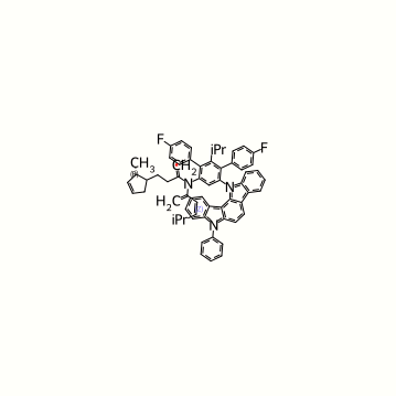 C=C(/C=C\C(C)C)N(C(=C)CCC1CC=C[C@@H]1C)c1cc(-n2c3ccccc3c3ccc4c(c5ccccc5n4-c4ccccc4)c32)c(-c2ccc(F)cc2)c(C(C)C)c1-c1ccc(F)cc1